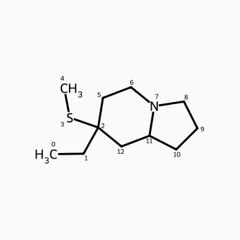 CCC1(SC)CCN2CCCC2C1